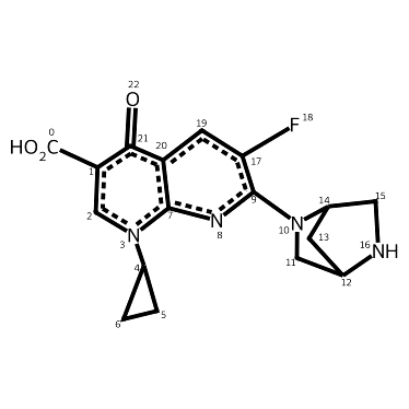 O=C(O)c1cn(C2CC2)c2nc(N3CC4CC3CN4)c(F)cc2c1=O